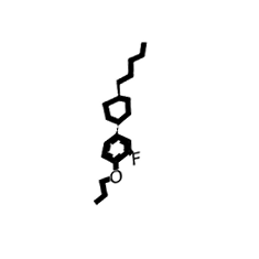 CCCCC[C@H]1CC[C@H](c2ccc(OCCC)c(F)c2)CC1